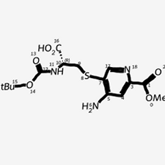 COC(=O)c1cc(N)c(SC[C@H](NC(=O)OC(C)(C)C)C(=O)O)cn1